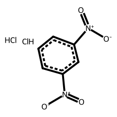 Cl.Cl.O=[N+]([O-])c1cccc([N+](=O)[O-])c1